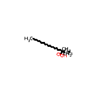 CCCCCCCCCCCCCCCCCCC(C(=O)O)C(C)(C)C